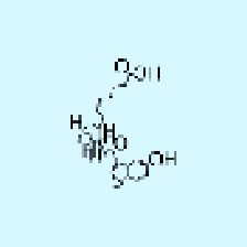 O=C(O)CCC/C=C\C[C@@H]1C[C@H]2C[C@@H](C2)[C@@H]1NC(=O)c1csc2ccc(O)cc12